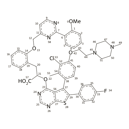 COc1ccccc1-c1nccc(COc2ccccc2CC(Oc2ncnc3sc(-c4ccc(F)cc4)c(-c4ccc(OCCN5CCN(C)CC5)c(Cl)c4C)c23)C(=O)O)n1